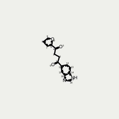 O=C(CCC(=O)c1ccco1)c1ccc2[nH]cnc2c1